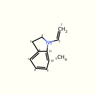 C.C=CN1CCc2ccccc21